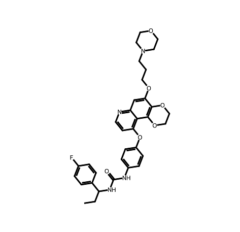 CCC(NC(=O)Nc1ccc(Oc2ccnc3cc(OCCCN4CCOCC4)c4c(c23)OCCO4)cc1)c1ccc(F)cc1